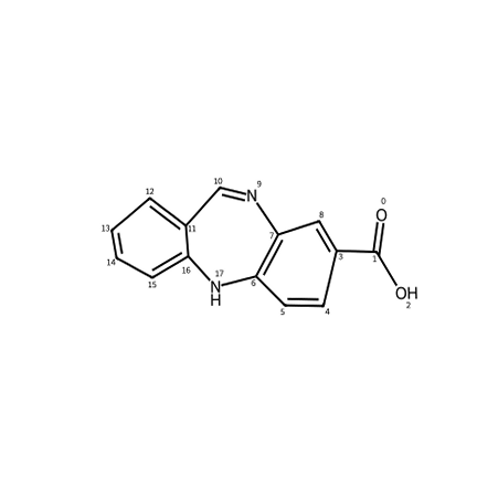 O=C(O)c1ccc2c(c1)N=Cc1ccccc1N2